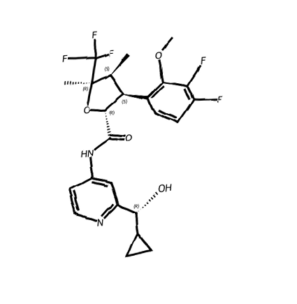 COc1c([C@H]2[C@H](C(=O)Nc3ccnc([C@H](O)C4CC4)c3)O[C@@](C)(C(F)(F)F)[C@H]2C)ccc(F)c1F